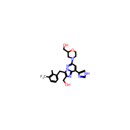 Cc1c(Cc2c(CO)nc3c(-c4c[nH]cn4)cc(N4CCOC(CO)C4)nn23)cccc1C(F)(F)F